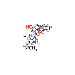 Cc1cc(-c2scnc2C)ccc1C(C)NC(=O)C1CC(O)CC1C(=O)C(C(C)C)N1Cc2ccccc2C1=O